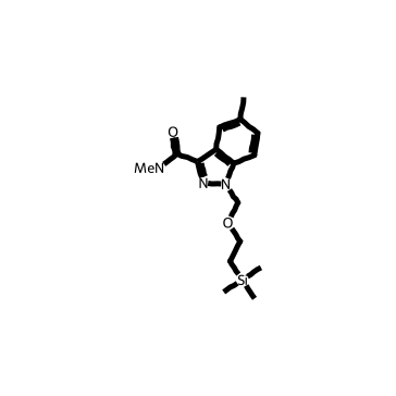 CNC(=O)c1nn(COCC[Si](C)(C)C)c2ccc(C)cc12